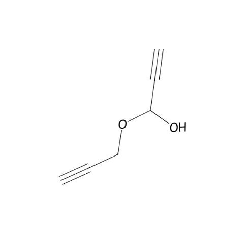 C#CCOC(O)C#C